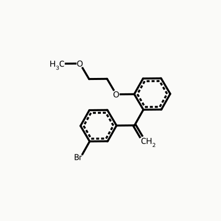 C=C(c1cccc(Br)c1)c1ccccc1OCCOC